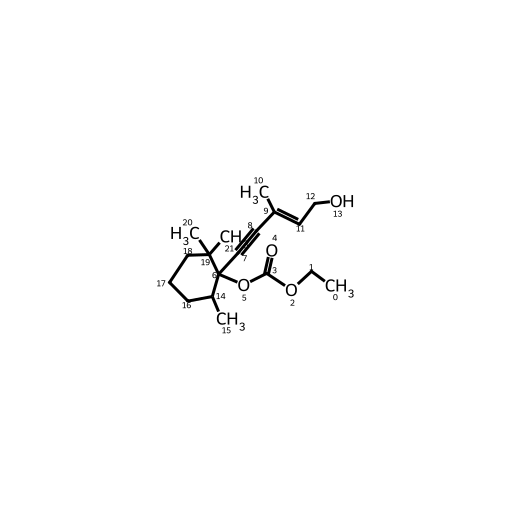 CCOC(=O)OC1(C#C/C(C)=C/CO)C(C)CCCC1(C)C